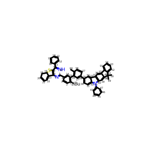 CCC(C)c1ccc(/C=N/C2=C(C(=N)c3ccccc3)SC3CC=CC=C23)cc1-c1cc(-c2ccc3c(c2)c2cc4c(cc2n3-c2ccccc2)C(C)(C)c2ccccc2-4)ccc1C